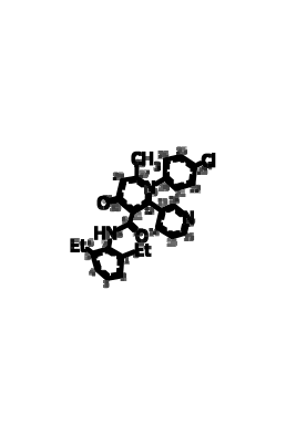 CCc1cccc(CC)c1NC(=O)c1c(-c2cccnc2)n(-c2ccc(Cl)cc2)c(C)cc1=O